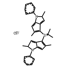 CC1=[C]([Zr+2]([C]2=C(C)C=C3C2=CC(C)N3c2ccccc2)=[C](C)C)C2=CC(C)N(c3ccccc3)C2=C1.[Cl-].[Cl-]